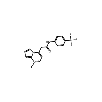 O=C(Cc1ccc(F)c2nccn12)Nc1ccc(C(F)(F)F)cc1